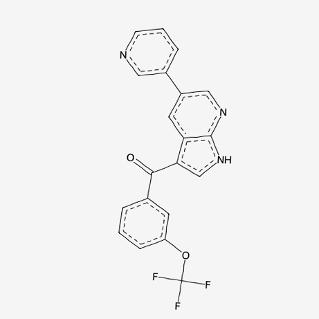 O=C(c1cccc(OC(F)(F)F)c1)c1c[nH]c2ncc(-c3cccnc3)cc12